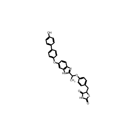 CC(Oc1ccc(CC2SC(=O)NC2=O)cc1)c1nc2ccc(Oc3ccc(-c4ccc(O)cc4)cc3)cc2[nH]1